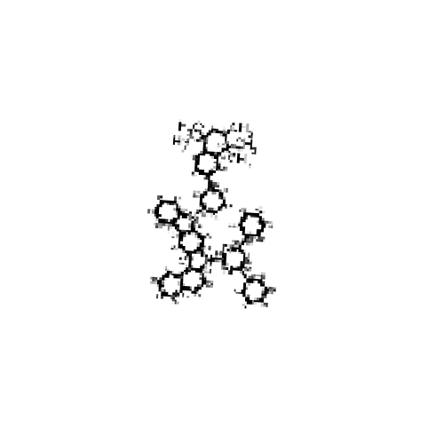 CC1CC(C)(C)c2ccc(-c3cccc(-n4c5ccccc5c5cc6c7c8ccccc8ccc7n(-c7nc(-c8ccccc8)nc(-c8ccccc8)n7)c6cc54)c3)cc2C1(C)C